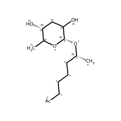 CC(=O)CCCC[C@@H](C)O[C@@H]1OC(C)[C@H](O)CC1O